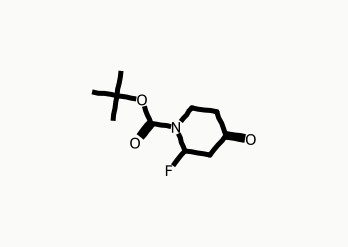 CC(C)(C)OC(=O)N1CCC(=O)CC1F